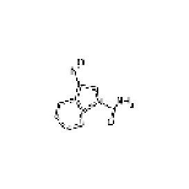 NC(=O)n1cc(N=O)c2ccccc21